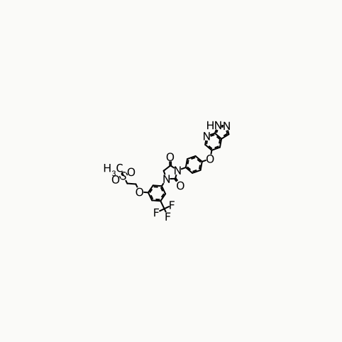 CS(=O)(=O)CCOc1cc(N2CC(=O)N(c3ccc(Oc4cnc5[nH]ncc5c4)cc3)C2=O)cc(C(F)(F)F)c1